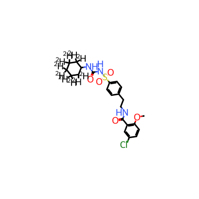 [2H]C1([2H])C(NC(=O)NS(=O)(=O)c2ccc(CCNC(=O)c3cc(Cl)ccc3OC)cc2)C([2H])([2H])C([2H])([2H])C([2H])([2H])C1([2H])[2H]